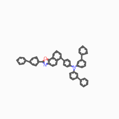 c1ccc(-c2ccc(-c3nc4ccc5c(-c6ccc(N(c7cccc(-c8ccccc8)c7)c7cccc(-c8ccccc8)c7)cc6)cccc5c4o3)cc2)cc1